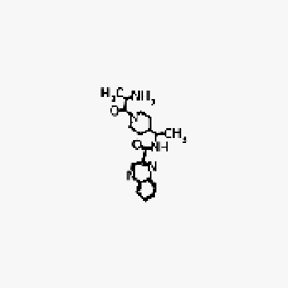 CC(N)C(=O)N1CCC(C(C)NC(=O)c2cnc3ccccc3n2)CC1